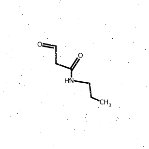 CCCNC(=O)CC=O